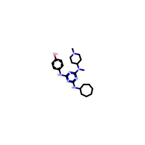 CN1CCC(N(C)c2nc(Nc3ccc(O)cc3)nc(NC3CCCCCC3)n2)CC1